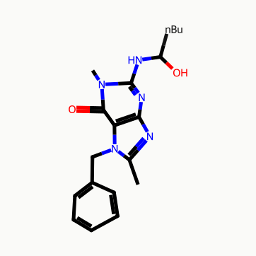 CCCCC(O)Nc1nc2nc(C)n(Cc3ccccc3)c2c(=O)n1C